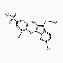 Cc1c(Sc2ccc(S(C)(=O)=O)cc2Cl)c2cc(C#N)ccn2c1CC(=O)O